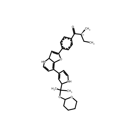 CC[C@H](C)C(=O)c1ccc(C2=CC3NC=CC(C4=CC(C(C)(C)OC5CCCCO5)NC=C4)=C3O2)cc1